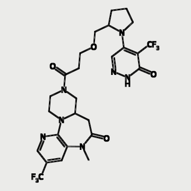 CN1C(=O)CC2CN(C(=O)CCOCC3CCCN3c3cn[nH]c(=O)c3C(F)(F)F)CCN2c2ncc(C(F)(F)F)cc21